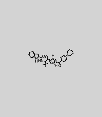 CC(C)(C)[C@H](NC(=O)c1cc2ccccc2[nH]1)C(=O)N1C[C@@H]2C[C@H]1CN2C(=O)c1ccc(N2CCCCC2)cn1